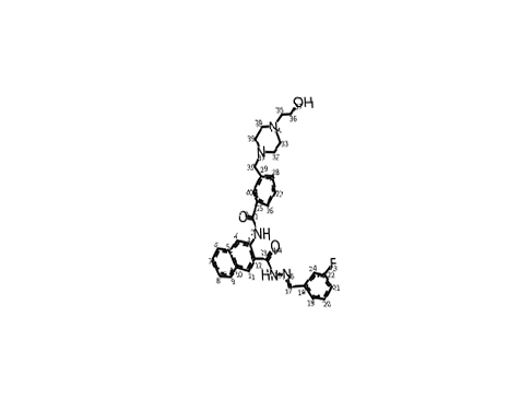 O=C(Nc1cc2ccccc2cc1C(=O)NN=Cc1cccc(F)c1)c1cccc(CN2CCN(CCO)CC2)c1